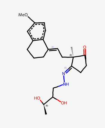 COc1ccc2c(c1)CCC/C2=C\C[C@@]1(C)C(=O)CC/C1=N\NCC(O)[C@@H](C)O